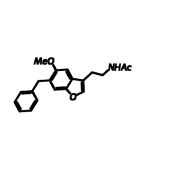 COc1cc2c(CCNC(C)=O)coc2cc1Cc1ccccc1